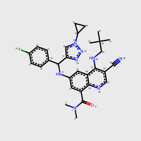 CN(C)C(=O)c1cc(NC(c2ccc(F)cc2)c2cn(C3CC3)nn2)cc2c(NCC(C)(C)C)c(C#N)cnc12